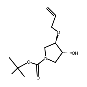 C=CCO[C@@H]1CN(C(=O)OC(C)(C)C)C[C@H]1O